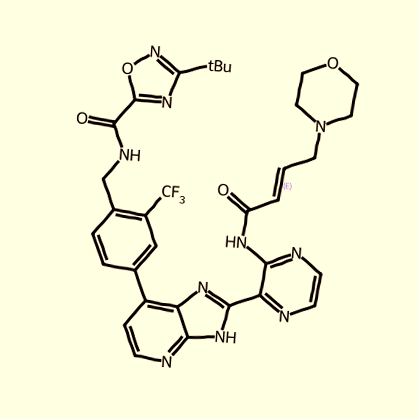 CC(C)(C)c1noc(C(=O)NCc2ccc(-c3ccnc4[nH]c(-c5nccnc5NC(=O)/C=C/CN5CCOCC5)nc34)cc2C(F)(F)F)n1